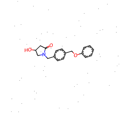 O=C1CC(O)CN1Cc1ccc(COc2ccccc2)cc1